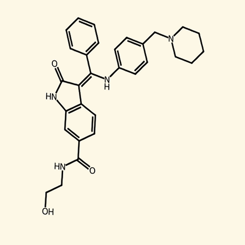 O=C1Nc2cc(C(=O)NCCO)ccc2C1=C(Nc1ccc(CN2CCCCC2)cc1)c1ccccc1